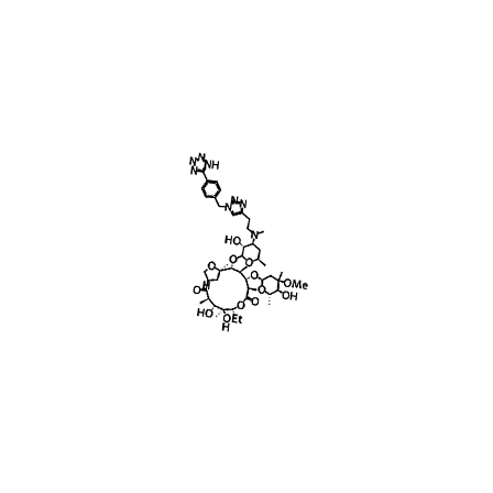 CC[C@H]1OC(=O)[C@H](C)[C@@H](O[C@H]2C[C@@](C)(OC)[C@@H](O)[C@H](C)O2)[C@H](C)[C@@H](O[C@@H]2O[C@H](C)C[C@H](N(C)CCc3cn(Cc4ccc(-c5nnn[nH]5)cc4)nn3)[C@H]2O)[C@@]2(C)C[C@@H](CO2)C(=O)[C@H](C)[C@@H](O)[C@]1(C)O